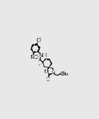 CC(C)(C)CN1C[C@@]2(CCC[C@](C)(CNc3cc(Cl)ccc3[N+](=O)[O-])C2)OC1=O